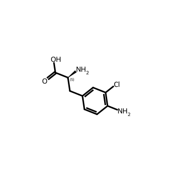 Nc1ccc(C[C@H](N)C(=O)O)cc1Cl